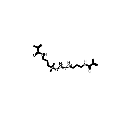 C=C(C)C(=O)NCCC[SiH2]O[SiH2]O[Si](C)(C)CCCNC(=O)C(=C)C